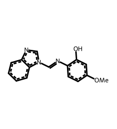 COc1ccc(N=Cn2cnc3ccccc32)c(O)c1